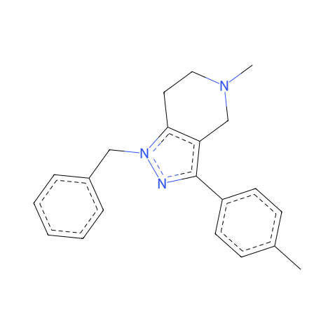 Cc1ccc(-c2nn(Cc3ccccc3)c3c2CN(C)CC3)cc1